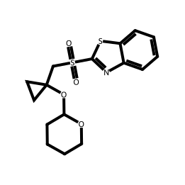 O=S(=O)(CC1(OC2CCCCO2)CC1)c1nc2ccccc2s1